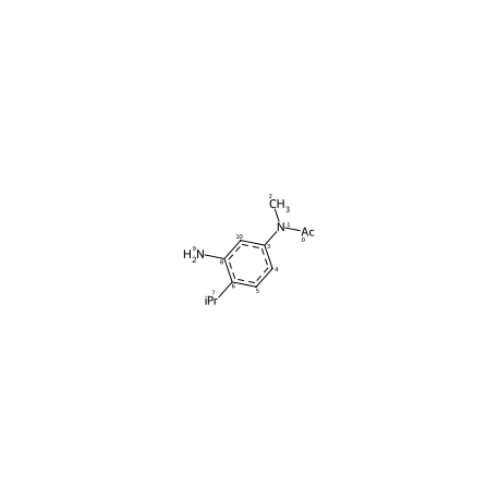 CC(=O)N(C)c1ccc(C(C)C)c(N)c1